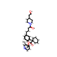 O=CCC1CCN(C(=O)CCCc2cccc(C3(C(=O)O[C@H]4CN5CCC4CC5)CCCCC3)c2)CC1